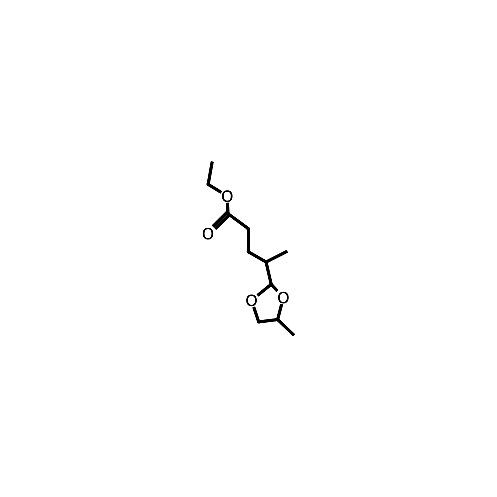 CCOC(=O)CCC(C)C1OCC(C)O1